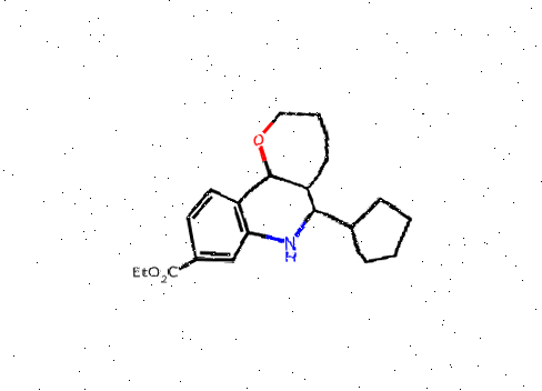 CCOC(=O)c1ccc2c(c1)NC(C1CCCC1)C1CCCOC21